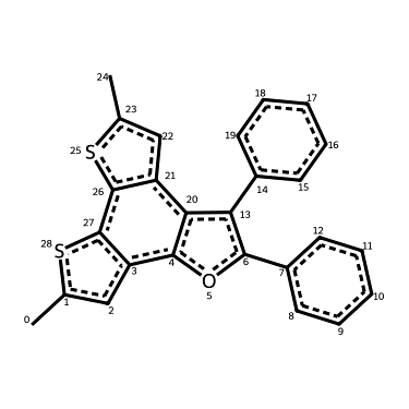 Cc1cc2c3oc(-c4ccccc4)c(-c4ccccc4)c3c3cc(C)sc3c2s1